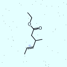 C/C=C/C(C)CC(=O)OCC